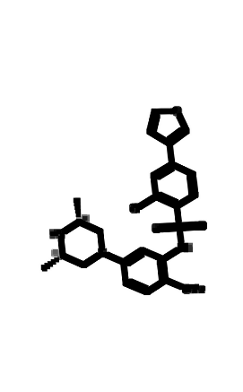 COc1ccc(N2C[C@@H](C)N[C@@H](C)C2)cc1NS(=O)(=O)c1ccc(-c2ccoc2)cc1Cl